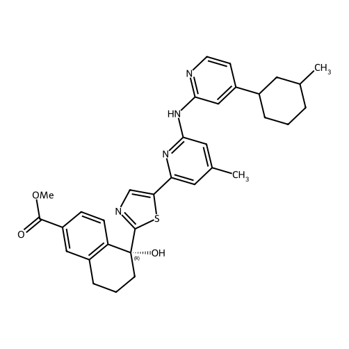 COC(=O)c1ccc2c(c1)CCC[C@]2(O)c1ncc(-c2cc(C)cc(Nc3cc(C4CCCC(C)C4)ccn3)n2)s1